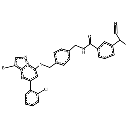 CC(C#N)c1cccc(C(=O)NCc2ccc(CNc3cc(-c4ccccc4Cl)nc4c(Br)cnn34)cc2)c1